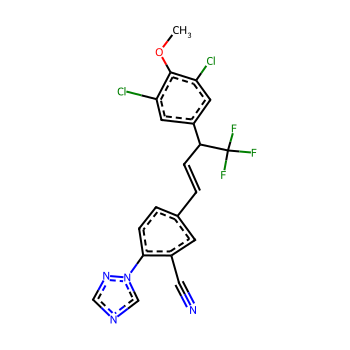 COc1c(Cl)cc(C(/C=C/c2ccc(-n3cncn3)c(C#N)c2)C(F)(F)F)cc1Cl